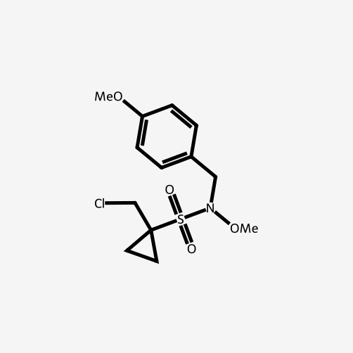 COc1ccc(CN(OC)S(=O)(=O)C2(CCl)CC2)cc1